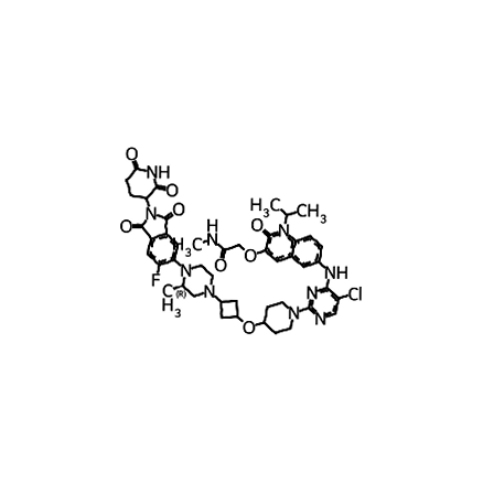 CNC(=O)COc1cc2cc(Nc3nc(N4CCC(OC5CC(N6CCN(c7cc8c(cc7F)C(=O)N(C7CCC(=O)NC7=O)C8=O)[C@H](C)C6)C5)CC4)ncc3Cl)ccc2n(C(C)C)c1=O